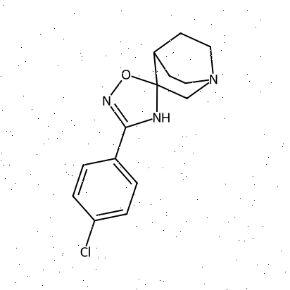 Clc1ccc(C2=NOC3(CN4CCC3CC4)N2)cc1